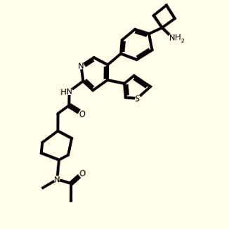 CC(=O)N(C)C1CCC(CC(=O)Nc2cc(-c3ccsc3)c(-c3ccc(C4(N)CCC4)cc3)cn2)CC1